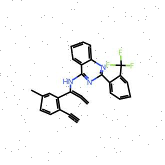 C#Cc1ccc(C)cc1C(=C=C)Nc1nc(-c2ccccc2C(F)(F)F)nc2ccccc12